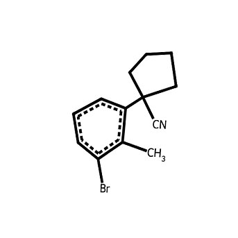 Cc1c(Br)cccc1C1(C#N)CCCC1